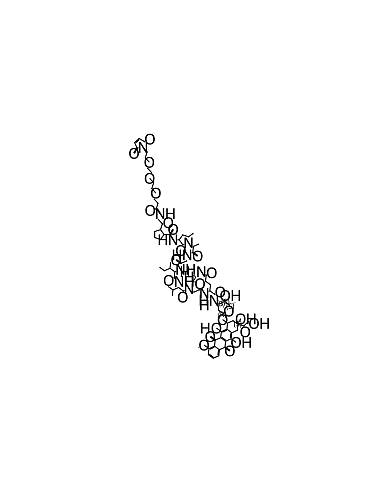 CCC(C)C(NC(=O)CNC(=O)C(C)N1C(=O)C(NC(=O)C2CCCC2C(=O)CNC(=O)CCOCCOCCOCCN2C(=O)C=CC2=O)CC1C)C(=O)NC(C(=O)NCC(=O)NC(CCC(N)=O)C(=O)N[C@H]1C[C@H](OC2C[C@](O)(C(=O)CO)Cc3c(O)c4c(c(O)c32)C(=O)c2c(OC)cccc2C4=O)O[C@@H](C)[C@H]1O)C(C)C